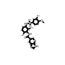 COc1ccc(S(=O)(=O)Nc2ccc(F)c(NC(=O)c3cnc4[nH]cnc4c3)c2F)cc1F